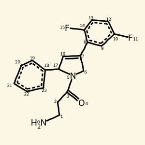 NCCC(=O)N1CC(c2cc(F)ccc2F)=CC1c1ccccc1